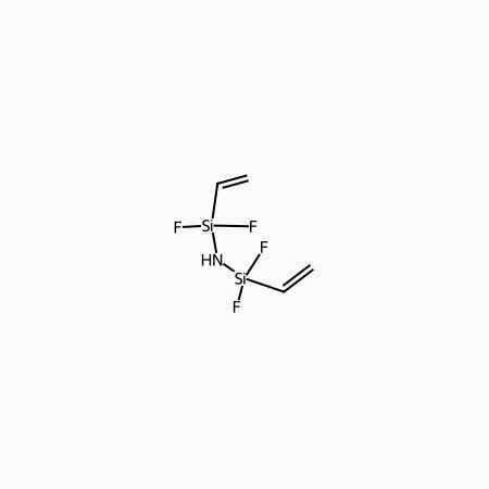 C=C[Si](F)(F)N[Si](F)(F)C=C